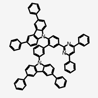 c1ccc(-c2ccc3c(c2)c2cc(-c4ccccc4)ccc2n3-c2cccc(-c3cc(-c4nc(-c5ccccc5)cc(-c5ccccc5)n4)ccc3-n3c4ccc(-c5ccccc5)cc4c4cc(-c5ccccc5)ccc43)c2)cc1